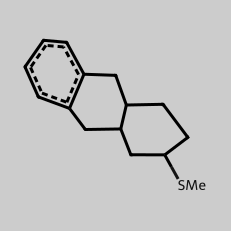 CSC1CCC2Cc3ccccc3CC2C1